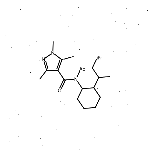 CC(=O)N(C(=O)c1c(C)nn(C)c1F)C1CCCCC1C(C)CC(C)C